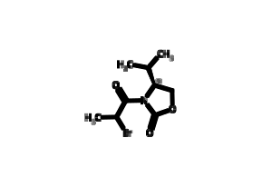 CC(Br)C(=O)N1C(=O)OC[C@@H]1C(C)C